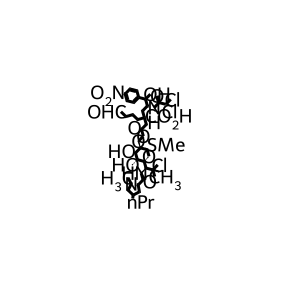 CCCC1CC(C(=O)N[C@H](C(C)Cl)[C@H]2O[C@H](SC)[C@H](OOC(=O)CC(CCCC=O)(CC(NC(=O)C(Cl)Cl)C(O)c3ccc([N+](=O)[O-])cc3)C(=O)O)[C@@H](O)[C@H]2O)N(C)C1